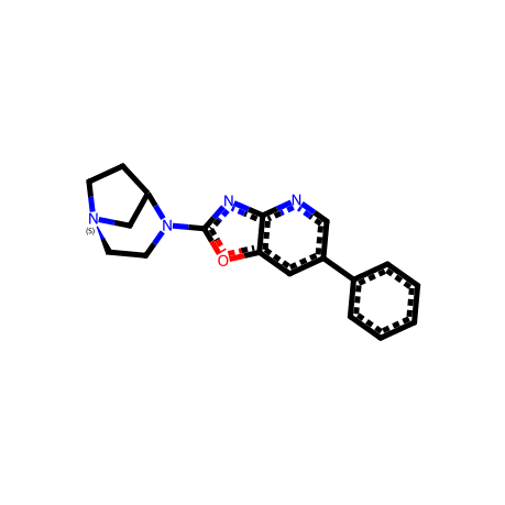 c1ccc(-c2cnc3nc(N4CC[N@@]5CCC4C5)oc3c2)cc1